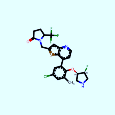 Cc1cc(Cl)cc(-c2ccnc3cc(CN4C(=O)CCC4C(F)(F)F)sc23)c1O[C@@H]1CNC[C@@H]1F